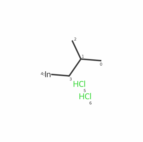 CC(C)[CH2][In].Cl.Cl